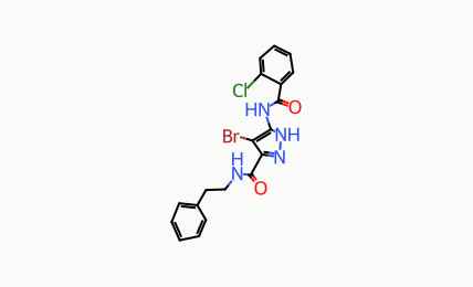 O=C(Nc1[nH]nc(C(=O)NCCc2ccccc2)c1Br)c1ccccc1Cl